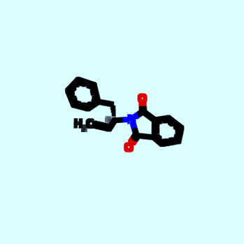 C=C[C@H](Cc1ccccc1)N1C(=O)c2ccccc2C1=O